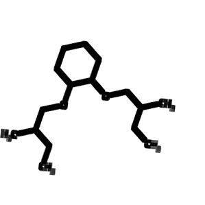 CCC(C)COC1CCCCC1OCC(C)CC